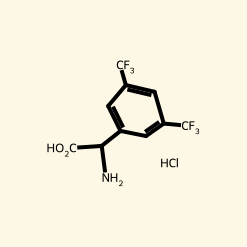 Cl.NC(C(=O)O)c1cc(C(F)(F)F)cc(C(F)(F)F)c1